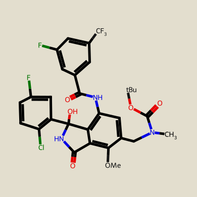 COc1c(CN(C)C(=O)OC(C)(C)C)cc(NC(=O)c2cc(F)cc(C(F)(F)F)c2)c2c1C(=O)NC2(O)c1cc(F)ccc1Cl